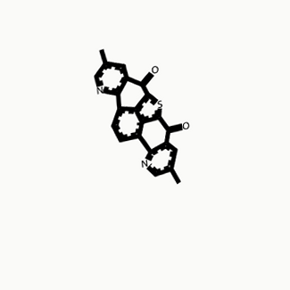 Cc1cnc2c(c1)C(=O)c1sc3c4c(ccc-2c14)-c1ncc(C)cc1C3=O